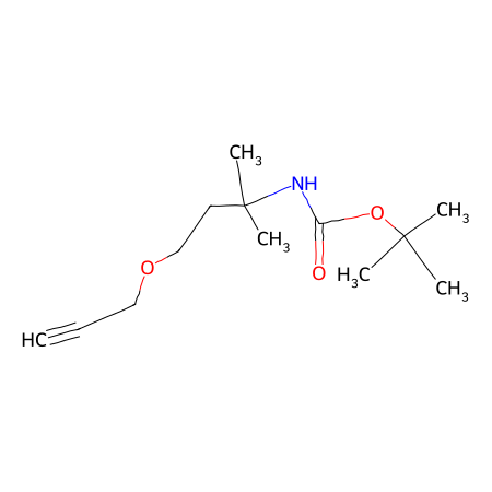 C#CCOCCC(C)(C)NC(=O)OC(C)(C)C